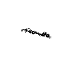 CC(C)N(CCNC(=O)CN1CCN(CCCCCOc2ccc3c(-c4ccc(Cl)cc4)coc3c2)CC1)C(C)C